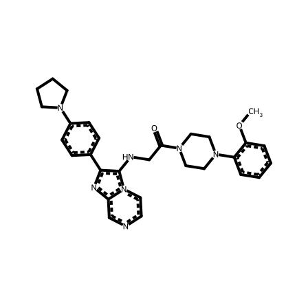 COc1ccccc1N1CCN(C(=O)CNc2c(-c3ccc(N4CCCC4)cc3)nc3cnccn23)CC1